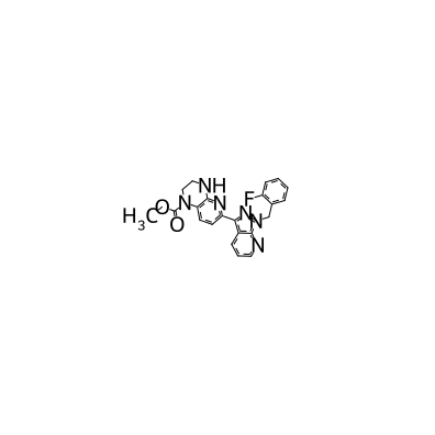 COC(=O)N1CCNc2nc(-c3nn(Cc4ccccc4F)c4ncccc34)ccc21